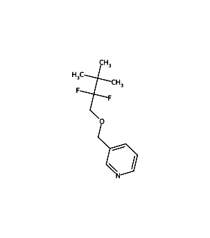 CC(C)(C)C(F)(F)COCc1cccnc1